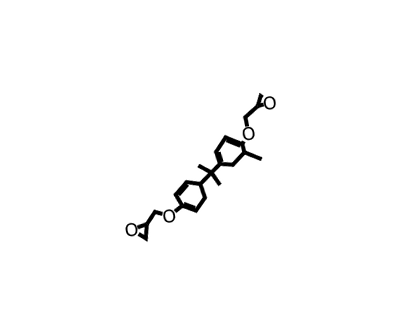 CC1CC(C(C)(C)C2C=CC(OCC3CO3)=CC2)=CC=C1OCC1CO1